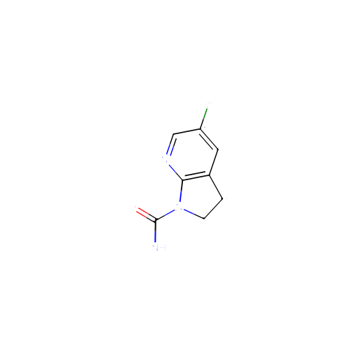 NC(=O)N1CCc2cc(Br)cnc21